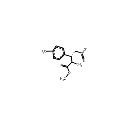 COC(=O)C(C)[C@@H](C[N+](=O)[O-])c1ccc(C)cc1